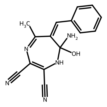 CC1=NC(C#N)=C(C#N)NC(N)(O)C1=Cc1ccccc1